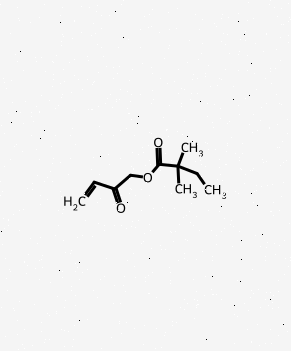 C=CC(=O)COC(=O)C(C)(C)CC